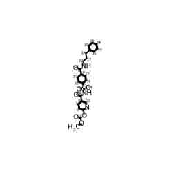 COC(=O)Oc1ccc(C(=O)NS(=O)(=O)c2ccc(C(=O)NCCCc3ccccc3)cc2)cn1